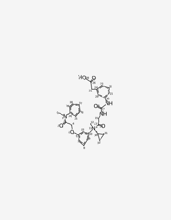 CN(C(=O)COc1cccc([N+](C)(C(=O)CNC(=O)Nc2cccc(CC(=O)O)c2)C2CC2)c1)c1ccccc1